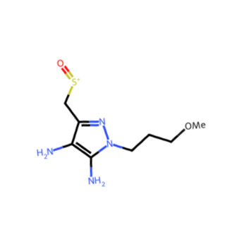 COCCCn1nc(C[S+]=O)c(N)c1N